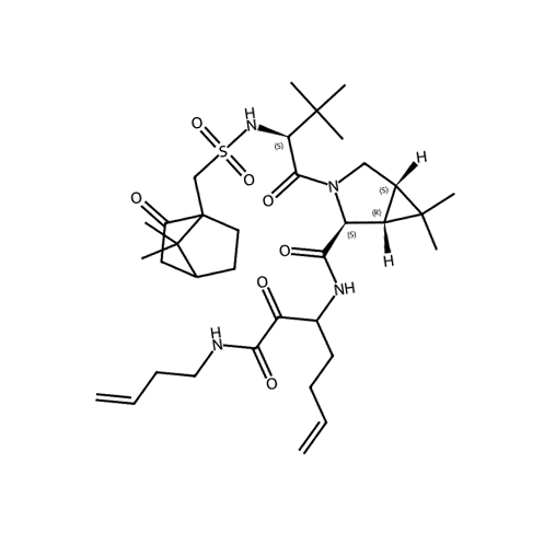 C=CCCNC(=O)C(=O)C(CCC=C)NC(=O)[C@@H]1[C@@H]2[C@H](CN1C(=O)[C@@H](NS(=O)(=O)CC13CCC(CC1=O)C3(C)C)C(C)(C)C)C2(C)C